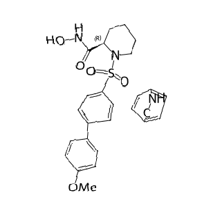 COc1ccc(-c2ccc(S(=O)(=O)N3CCCC[C@@H]3C(=O)NO)cc2)cc1.c1cc2ccc1CN2